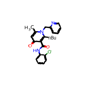 CCCCc1c(C(=O)Nc2ccccc2Cl)c(=O)cc(C)n1Cc1ccccn1